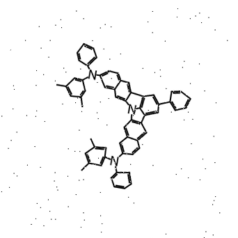 Cc1cc(C)cc(N(c2ccccc2)c2ccc3cc4c5cc(-c6ccccc6)cc6c7cc8ccc(N(c9ccccc9)c9cc(C)cc(C)c9)cc8cc7n(c4cc3c2)c56)c1